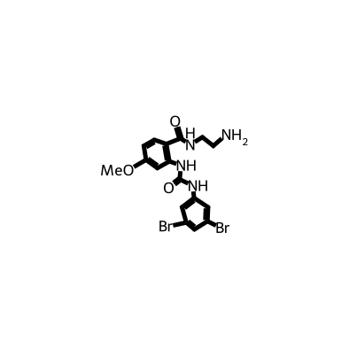 COc1ccc(C(=O)NCCN)c(NC(=O)Nc2cc(Br)cc(Br)c2)c1